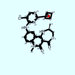 C[C@H]1COC(=O)c2c(c3cc(Nc4nc(N5CC6CC5C6)ncc4Cl)ccc3n(C)c2=O)N1